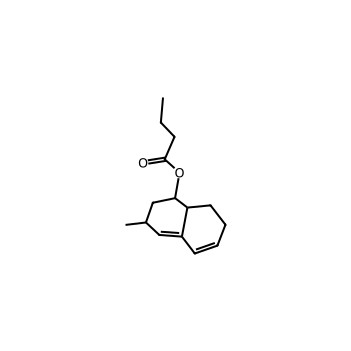 CCCC(=O)OC1CC(C)C=C2C=CCCC21